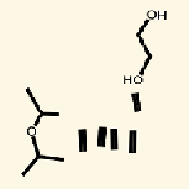 C=C.C=C.C=C.C=C.C=C.CC(C)OC(C)C.OCCO